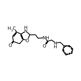 CC1=CC(=O)CC2=C1NC(CCNC(=O)CNCc1ccccc1)O2